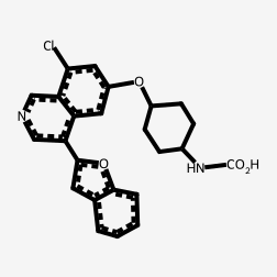 O=C(O)NC1CCC(Oc2cc(Cl)c3cncc(-c4cc5ccccc5o4)c3c2)CC1